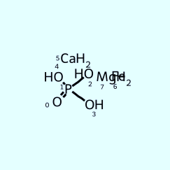 O=P(O)(O)O.[CaH2].[Fe].[MgH2]